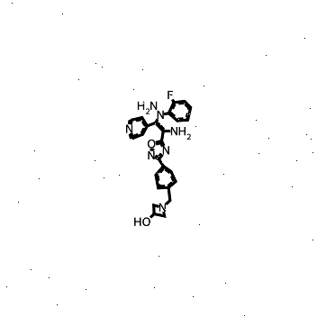 N/C(=C(/c1ccncc1)N(N)c1ccccc1F)c1nc(-c2ccc(CN3CC(O)C3)cc2)no1